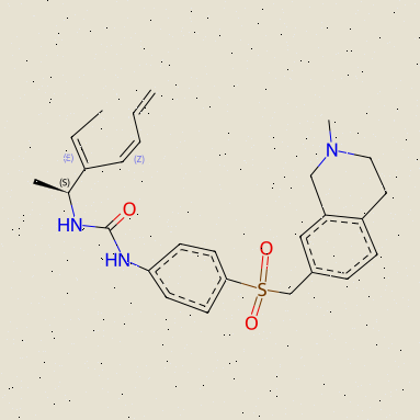 C=C/C=C\C(=C/C)[C@H](C)NC(=O)Nc1ccc(S(=O)(=O)Cc2ccc3c(c2)CN(C)CC3)cc1